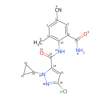 Cc1cc(C#N)cc(C(N)=O)c1NC(=O)c1cc(Cl)nn1C1CC1